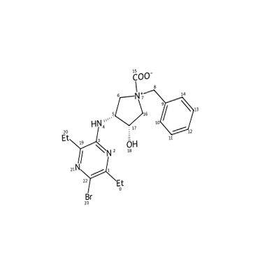 CCc1nc(N[C@@H]2C[N+](Cc3ccccc3)(C(=O)[O-])C[C@@H]2O)c(CC)nc1Br